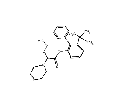 CCOC(C(=O)Oc1cccc(C(C)(C)C)c1-c1cccnc1)N1CCNCC1